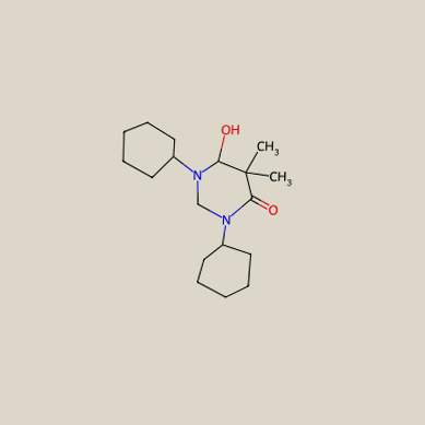 CC1(C)C(=O)N(C2CCCCC2)CN(C2CCCCC2)C1O